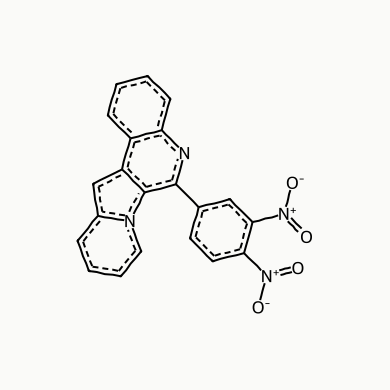 O=[N+]([O-])c1ccc(-c2nc3ccccc3c3cc4ccccn4c23)cc1[N+](=O)[O-]